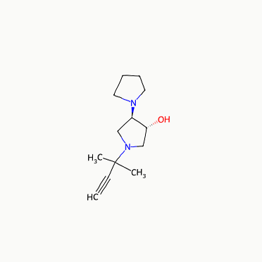 C#CC(C)(C)N1C[C@@H](O)[C@H](N2CCCC2)C1